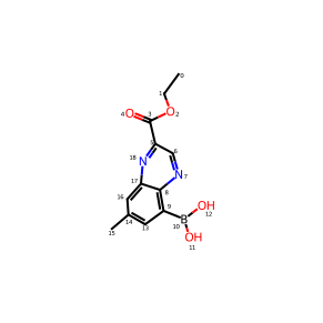 CCOC(=O)c1cnc2c(B(O)O)cc(C)cc2n1